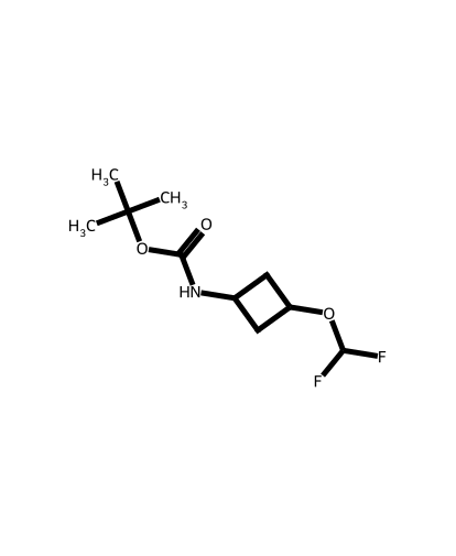 CC(C)(C)OC(=O)NC1CC(OC(F)F)C1